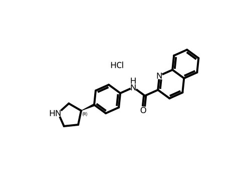 Cl.O=C(Nc1ccc([C@H]2CCNC2)cc1)c1ccc2ccccc2n1